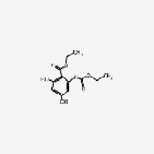 CCOC(=O)Oc1cc(O)cc(O)c1C(=O)OCC